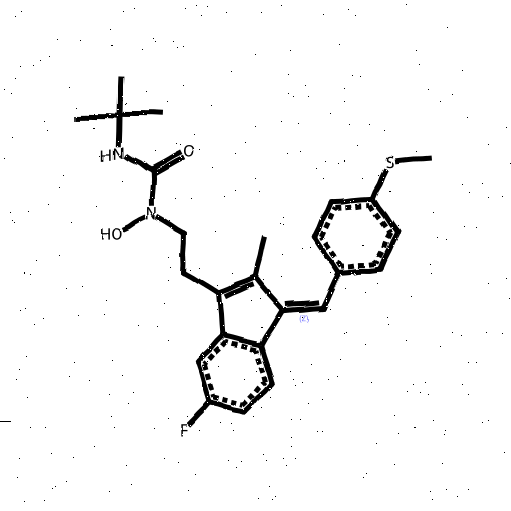 CSc1ccc(/C=C2\C(C)=C(CCN(O)C(=O)NC(C)(C)C)c3cc(F)ccc32)cc1